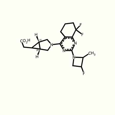 CC1C(F)CN1c1nc(N2C[C@@H]3C(CC(=O)O)[C@@H]3C2)c2c(n1)C(F)(F)CCC2